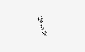 Ic1ccc(N2CC(OCCOC3CCCCO3)C2)cc1